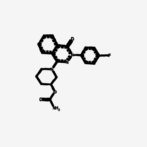 NC(=O)OC1CCCN(c2nn(-c3ccc(F)cc3)c(=O)c3ccccc23)C1